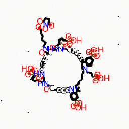 CC1(C)C2=[N+](CCCCCC(=O)NC(Cc3ccc(S(=O)(=O)O)s3)C(=O)NCCCCC(C(=O)NCCCCCC(=O)ON3C(=O)CCC3=O)CC(=O)C(Cc3ccc(S(=O)(=O)O)s3)NC(=O)CCCCCC3(C)/C(=C/C=C/C=C/2)N(CCCS(=O)(=O)O)c2ccc(S(=O)(=O)O)cc23)c2ccc(S(=O)(=O)O)cc21